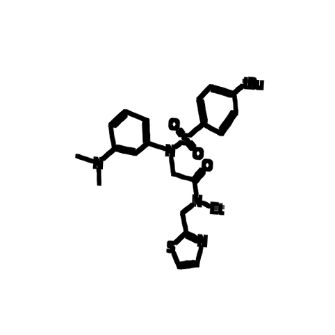 CCN(Cc1nccs1)C(=O)CN(c1cccc(N(C)C)c1)S(=O)(=O)c1ccc(C(C)(C)C)cc1